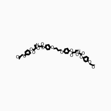 O=C(Oc1ccc(OCC2CO2)cc1)c1cnc(C(=O)Oc2ccc(OCCCCOc3ccc(OC(=O)c4cnc(C(=O)Oc5ccc(OCC6CO6)cc5)o4)cc3)cc2)o1